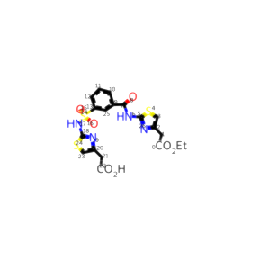 CCOC(=O)Cc1csc(NC(=O)c2cccc(S(=O)(=O)Nc3nc(CC(=O)O)cs3)c2)n1